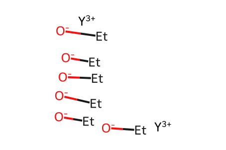 CC[O-].CC[O-].CC[O-].CC[O-].CC[O-].CC[O-].[Y+3].[Y+3]